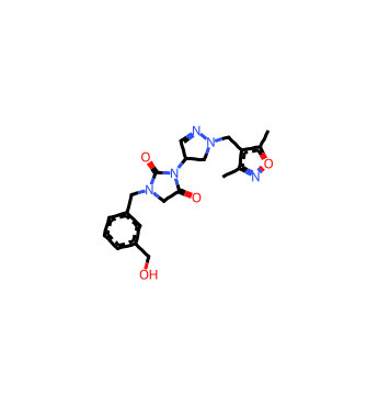 Cc1noc(C)c1CN1CC(N2C(=O)CN(Cc3cccc(CO)c3)C2=O)C=N1